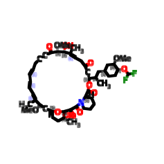 CO[C@H]1C[C@@H]2CC[C@@H](C)[C@@](O)(O2)C(=O)C(=O)N2CCCC[C@H]2C(=O)O[C@H]([C@H](C)C[C@@H]2CC[C@@H](OC(F)F)[C@H](OC)C2)CC(=O)C/C=C(\C)[C@@H](O)[C@@H](OC)C(=O)CCC/C=C/C=C/C=C/1C